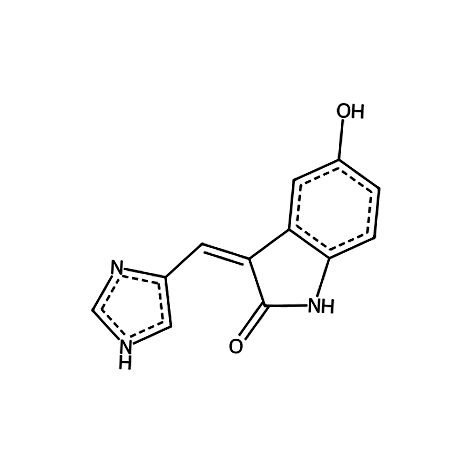 O=C1Nc2ccc(O)cc2/C1=C/c1c[nH]cn1